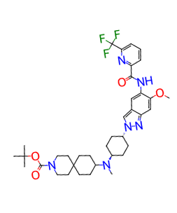 COc1cc2nn([C@H]3CC[C@H](N(C)C4CCC5(CC4)CCN(C(=O)OC(C)(C)C)CC5)CC3)cc2cc1NC(=O)c1cccc(C(F)(F)F)n1